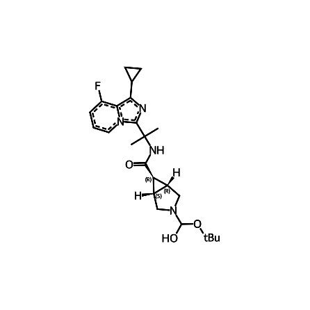 CC(C)(C)OC(O)N1C[C@@H]2[C@H](C1)[C@H]2C(=O)NC(C)(C)c1nc(C2CC2)c2c(F)cccn12